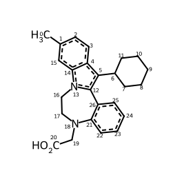 Cc1ccc2c(C3CCCCC3)c3n(c2c1)CCN(CC(=O)O)c1ccccc1-3